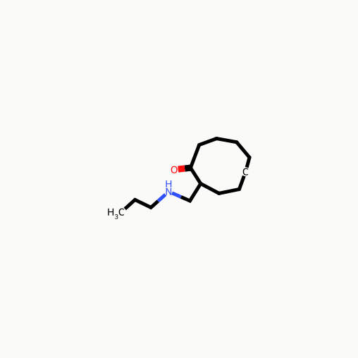 CCCNCC1CCCCCCCC1=O